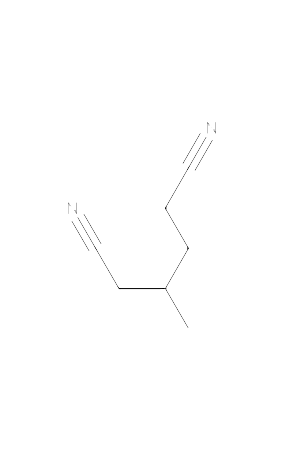 CC(CC#N)CCC#N